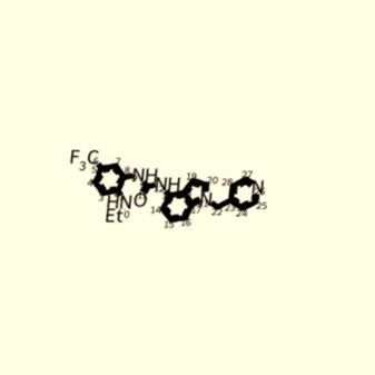 CCNc1ccc(C(F)(F)F)cc1NC(=O)Nc1cccc2c1ccn2Cc1ccncc1